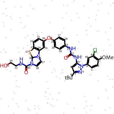 COc1ccc(-n2nc(C(C)(C)C)cc2NC(=O)Nc2ccc(Oc3ccc4c(c3)N3C=CN(C(=O)NCCO)C3S4)cc2)cc1Cl